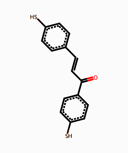 O=C(C=Cc1ccc(S)cc1)c1ccc(S)cc1